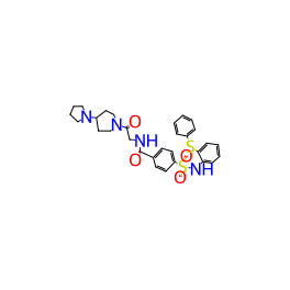 O=C(NCC(=O)N1CCC(N2CCCC2)CC1)c1ccc(S(=O)(=O)Nc2ccccc2Sc2ccccc2)cc1